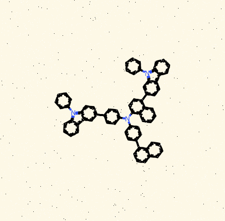 c1ccc(-n2c3ccccc3c3cc(-c4ccc(N(c5ccc(-c6cccc7ccccc67)cc5)c5ccc(-c6ccc7c8ccccc8n(-c8ccccc8)c7c6)c6ccccc56)cc4)ccc32)cc1